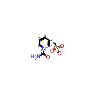 CS(=O)(=O)[O-].NC(=O)[n+]1ccccc1